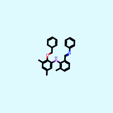 Cc1cc(C)c(OCC2C=CC=CC2)c(Pc2c(C)cccc2/C=N/c2ccccc2)c1